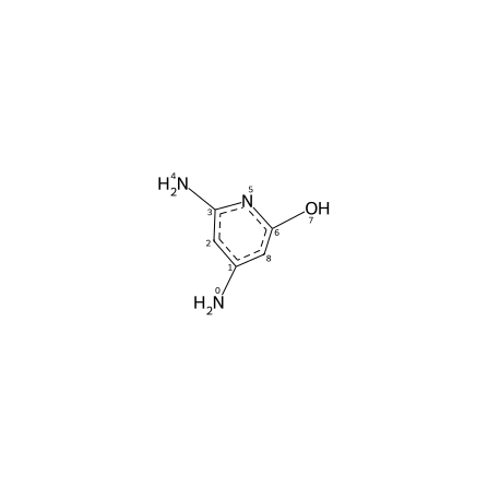 Nc1cc(N)nc(O)c1